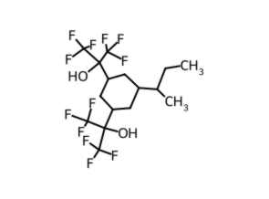 CCC(C)C1CC(C(O)(C(F)(F)F)C(F)(F)F)CC(C(O)(C(F)(F)F)C(F)(F)F)C1